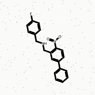 O=[N+]([O-])c1ccc(-c2ccccc2)cc1CNCc1ccc(F)cc1